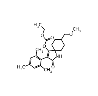 CCOC(=O)OC1=C(c2c(C)cc(C)cc2C)C(=O)NC12CCC(COC)CC2